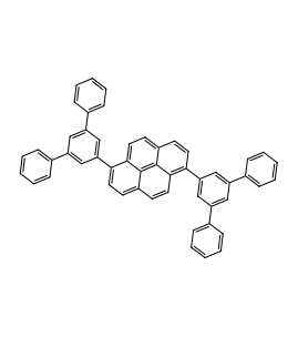 c1ccc(-c2cc(-c3ccccc3)cc(-c3ccc4ccc5c(-c6cc(-c7ccccc7)cc(-c7ccccc7)c6)ccc6ccc3c4c65)c2)cc1